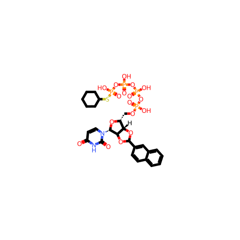 O=c1ccn([C@@H]2O[C@H](COP(=O)(O)OP(=O)(O)OP(=O)(O)OP(=O)(O)SC3CCCCC3)[C@@H]3OC(c4ccc5ccccc5c4)OC32)c(=O)[nH]1